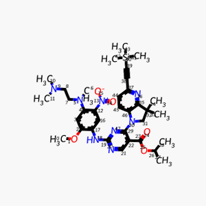 COc1cc(N(C)CCN(C)C)c([N+](=O)[O-])cc1Nc1ncc(C(=O)OC(C)C)c(N2CC(C)(C)c3nc(C#C[Si](C)(C)C)ccc32)n1